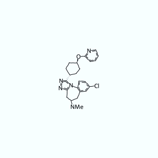 CNC1Cc2cc(Cl)ccc2-n2c(nnc2[C@H]2CC[C@H](Oc3ccccn3)CC2)C1